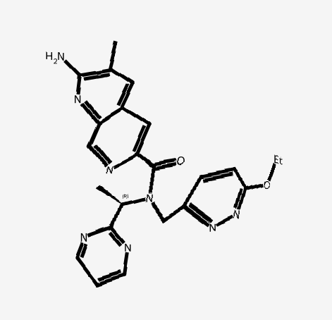 CCOc1ccc(CN(C(=O)c2cc3cc(C)c(N)nc3cn2)[C@H](C)c2ncccn2)nn1